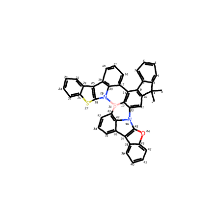 CC1(C)c2ccccc2-c2c1cc1c3c2-c2cccc4c5c6ccccc6sc5n(c24)B3c2cccc3c4c5ccccc5oc4n-1c23